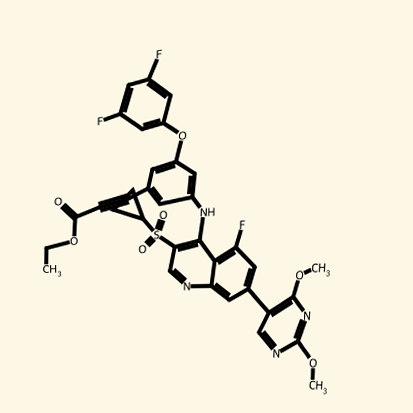 CCOC(=O)C#Cc1cc(Nc2c(S(=O)(=O)C3CC3)cnc3cc(-c4cnc(OC)nc4OC)cc(F)c23)cc(Oc2cc(F)cc(F)c2)c1